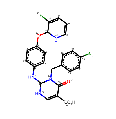 O=C(O)C1=CNC(Nc2ccc(OC3NC=CC=C3F)cc2)N(Cc2ccc(Cl)cc2)C1=O